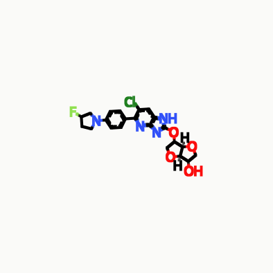 O[C@@H]1CO[C@H]2[C@@H]1OC[C@H]2Oc1nc2nc(-c3ccc(N4CC[C@@H](F)C4)cc3)c(Cl)cc2[nH]1